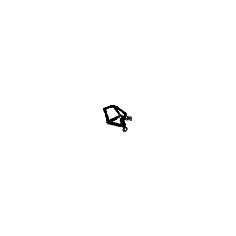 O=P1(O)C2CCC1C2